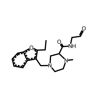 CCc1oc2ccccc2c1CN1CCN(C)C(C(=O)NCC=O)C1